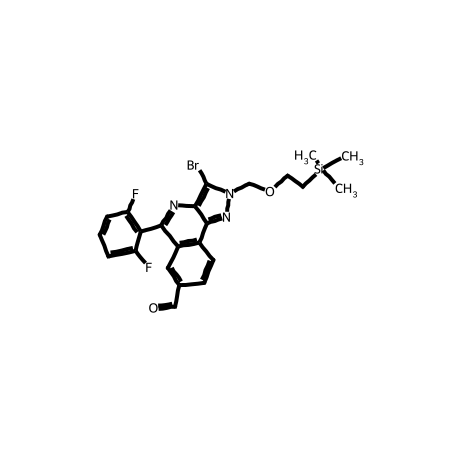 C[Si](C)(C)CCOCn1nc2c(nc(-c3c(F)cccc3F)c3cc(C=O)ccc32)c1Br